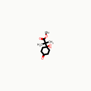 CC(C)(C)OC(=O)C(C)(C)C1(O)CCC(=O)CC1